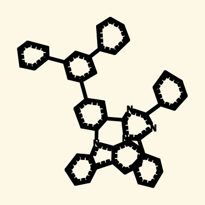 c1ccc(-c2cc(-c3ccccc3)cc(-c3ccc(-n4c5ccccc5c5ccccc54)c(-c4nc(-c5ccccc5)nc(-c5ccccc5)n4)c3)c2)cc1